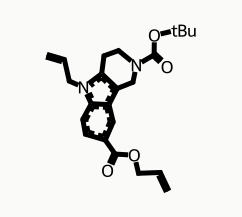 C=CCOC(=O)c1ccc2c(c1)c1c(n2CC=C)CCN(C(=O)OC(C)(C)C)C1